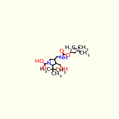 CC(C)(C)C1C(CO)C(CNC(=O)OCC[Si](C)(C)C)CN1C(=O)O